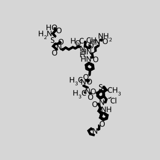 Cc1csc2c(OC(=O)N(C)CCN(C)C(=O)OCc3ccc(NC(=O)[C@H](CCCNC(N)=O)NC(=O)[C@@H](NC(=O)CCCCCN4C(=O)CC(SC[C@H](N)C(=O)O)C4=O)C(C)C)cc3)cc3c(c12)[C@H](CCl)CN3C(=O)c1cc2cc(OCCN3CCCC3)ccc2[nH]1